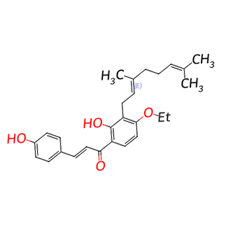 CCOc1ccc(C(=O)C=Cc2ccc(O)cc2)c(O)c1C/C=C(\C)CCC=C(C)C